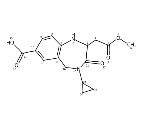 COC(=O)CC1Nc2ccc(C(=O)O)cc2CN(C2CC2)C1=O